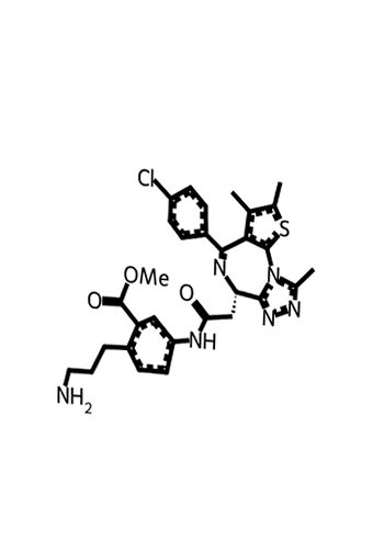 COC(=O)c1cc(NC(=O)C[C@@H]2N=C(c3ccc(Cl)cc3)c3c(sc(C)c3C)-n3c(C)nnc32)ccc1CCCN